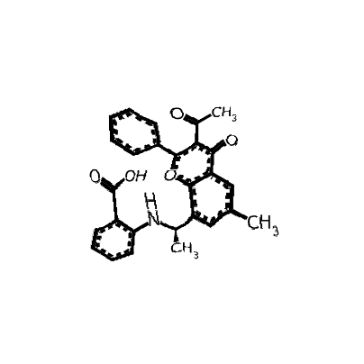 CC(=O)c1c(-c2ccccc2)oc2c([C@@H](C)Nc3ccccc3C(=O)O)cc(C)cc2c1=O